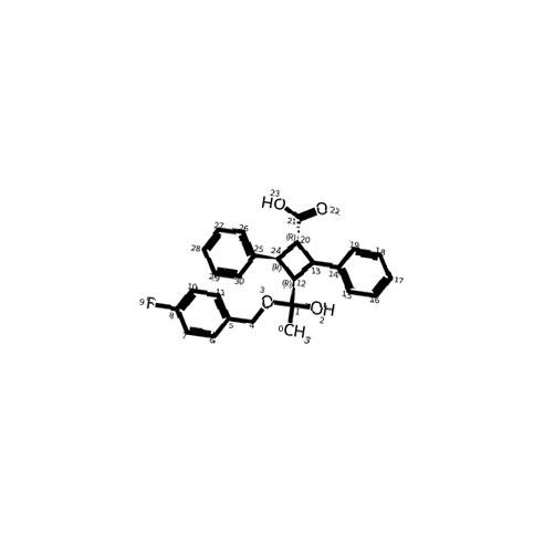 CC(O)(OCc1ccc(F)cc1)[C@@H]1C(c2ccccc2)[C@@H](C(=O)O)[C@@H]1c1ccccc1